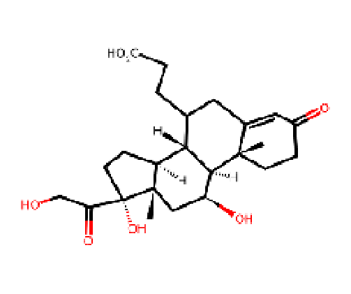 C[C@]12CCC(=O)C=C1CC(CCC(=O)O)[C@@H]1[C@@H]2[C@@H](O)C[C@@]2(C)[C@H]1CC[C@]2(O)C(=O)CO